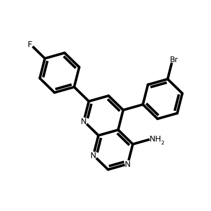 Nc1ncnc2nc(-c3ccc(F)cc3)cc(-c3cccc(Br)c3)c12